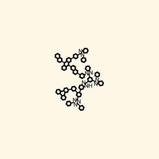 c1ccc(-c2nc(-c3ccccc3)nc(-c3ccc(-c4ccc5nc(-c6cc(-c7nc8ccccc8n7-c7ccccc7)cc(-c7nc8ccccc8n7-c7cccc(-c8ccc9cc(-c%10c%11ccccc%11c(-c%11ccc%12ccccc%12c%11)c%11ccc(-c%12ccc(-c%13nc%14ccccc%14n%13-c%13ccccc%13)cc%12)cc%10%11)ccc9c8)c7)c6)[nH]c5c4)c(-c4cccc(-c5ccc6c7ccccc7c7ccccc7c6c5)c4)c3)n2)cc1